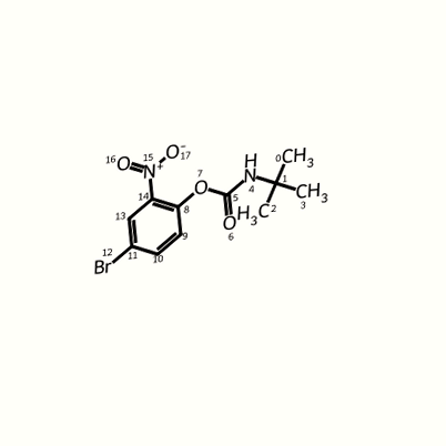 CC(C)(C)NC(=O)Oc1ccc(Br)cc1[N+](=O)[O-]